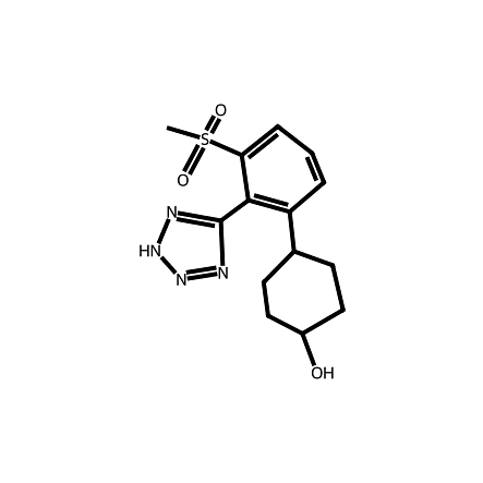 CS(=O)(=O)c1cccc(C2CCC(O)CC2)c1-c1nn[nH]n1